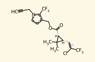 C#CCn1ccc(COC(=O)[C@@H]2[C@H](/C=C(\Cl)C(F)(F)F)C2(C)C)c1C(F)(F)F